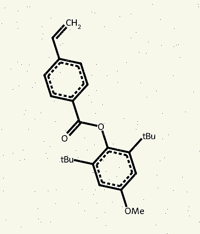 C=Cc1ccc(C(=O)Oc2c(C(C)(C)C)cc(OC)cc2C(C)(C)C)cc1